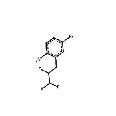 Nc1ccc(Br)cc1CC(F)C(F)F